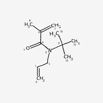 C=CCN(C(=O)C(=C)C)C(C)(C)C